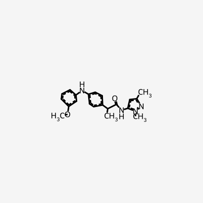 COc1cccc(Nc2ccc(C(C)C(=O)Nc3cc(C)nn3C)cc2)c1